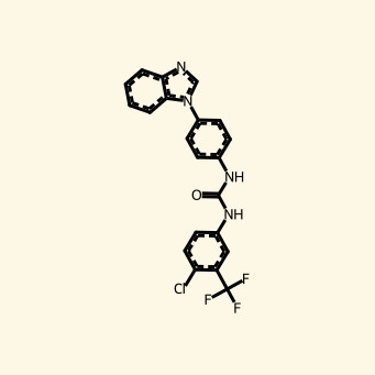 O=C(Nc1ccc(-n2cnc3ccccc32)cc1)Nc1ccc(Cl)c(C(F)(F)F)c1